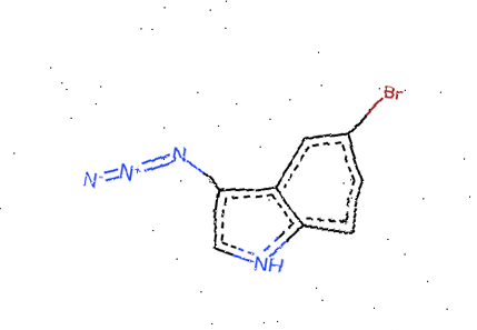 [N-]=[N+]=Nc1c[nH]c2ccc(Br)cc12